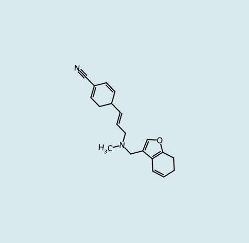 CN(C/C=C/C1C=CC(C#N)=CC1)Cc1coc2c1C=CCC2